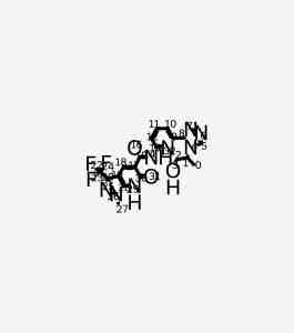 CC(CO)n1cnnc1-c1cccc(NC(=O)c2cc3c(C(F)(F)F)nn(C)c3[nH]c2=O)n1